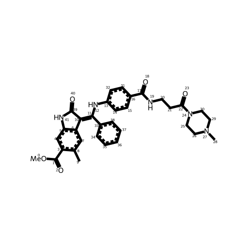 COC(=O)c1cc2c(cc1C)/C(=C(/Nc1ccc(C(=O)NCCC(=O)N3CCN(C)CC3)cc1)c1ccccc1)C(=O)N2